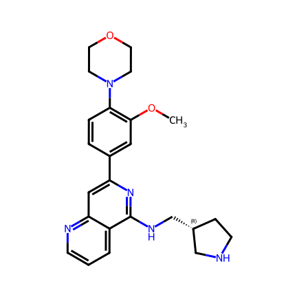 COc1cc(-c2cc3ncccc3c(NC[C@@H]3CCNC3)n2)ccc1N1CCOCC1